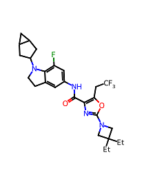 CCC1(CC)CN(c2nc(C(=O)Nc3cc(F)c4c(c3)CCN4C3CC4CC4C3)c(CC(F)(F)F)o2)C1